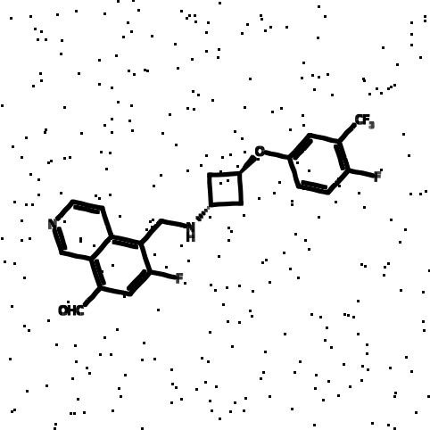 O=Cc1cc(F)c(CN[C@H]2C[C@H](Oc3ccc(F)c(C(F)(F)F)c3)C2)c2ccncc12